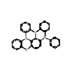 c1ccc(N2c3ccccc3B3c4ccccc4B4c5ccccc5Oc5ccc2c3c54)cc1